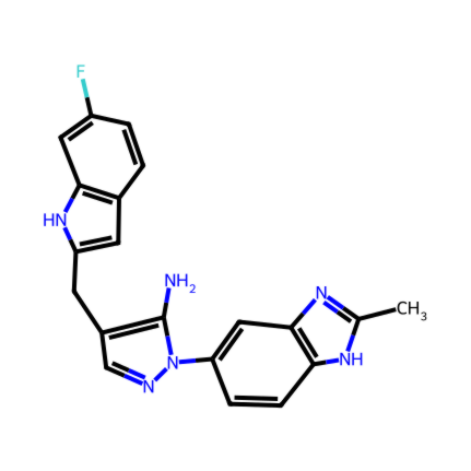 Cc1nc2cc(-n3ncc(Cc4cc5ccc(F)cc5[nH]4)c3N)ccc2[nH]1